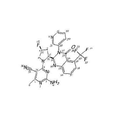 Cc1nc(N)nc(N2C[C@@H](F)C[C@H]2c2nc3cccc(C(F)(F)F)c3c(=O)n2-c2cccnc2)c1C#N